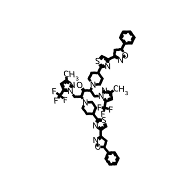 Cc1cc(C(F)(F)F)n(CC(C(=O)C(Cn2nc(C)cc2C(F)(F)F)N2CCC(c3nc(C4=NOC(c5ccccc5)C4)cs3)CC2)N2CCC(c3nc(C4=NOC(c5ccccc5)C4)cs3)CC2)n1